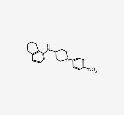 O=[N+]([O-])c1ccc(N2CCC(Nc3cccc4c3CCCC4)CC2)cc1